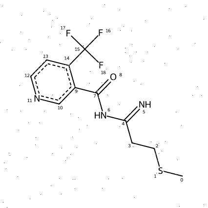 CSCCC(=N)NC(=O)c1cnccc1C(F)(F)F